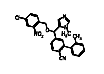 Cc1ccccc1-c1cc(C(OCc2ccc(Cl)cc2[N+](=O)[O-])c2cncn2C)ccc1C#N